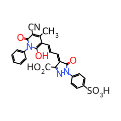 Cc1c(C=CC=C2C(=O)N(c3ccc(S(=O)(=O)O)cc3)N=C2C(=O)O)c(O)n(-c2ccccc2)c(=O)c1C#N